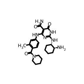 Cc1cc(Nc2nc(N[C@H]3CCCC[C@@H]3N)[nH]c(=O)c2C(N)=O)ccc1C(=O)N1CCCCC1